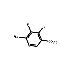 CCOC(=O)c1cnc(C)c(F)c1Cl